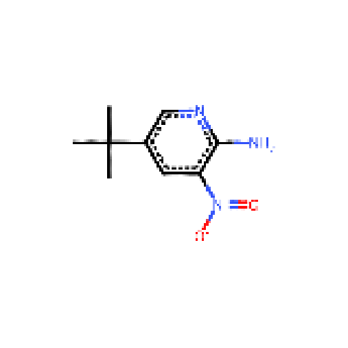 CC(C)(C)c1cnc(N)c([N+](=O)[O-])c1